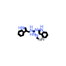 CCCC=[N+](NC(=N)NCc1c[nH]c2ccccc12)c1c[nH]c2ccccc12